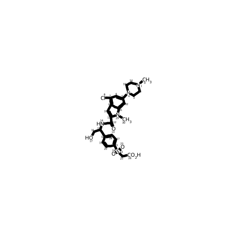 CN1CCN(c2cc(Cl)c3cc(C(=O)NC(CO)c4ccc(S(=O)(=O)CC(=O)O)cc4)n(C)c3c2)CC1